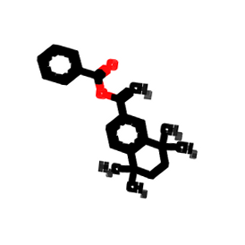 C=C(OC(=O)c1ccccc1)c1ccc2c(c1)C(C)(C)CCC2(C)C